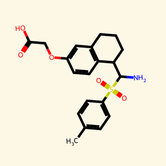 Cc1ccc(S(=O)(=O)C(N)C2CCCc3cc(OCC(=O)O)ccc32)cc1